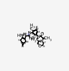 CCC/C(=N\c1cc(N(C)C(=O)[C@H](C)N2CCOCC2)cc(F)c1C)c1n[nH]c2c1CC1CC1C2